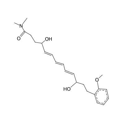 COc1ccccc1CCC(O)/C=C/C=C/C=C/C(O)CCC(=O)N(C)C